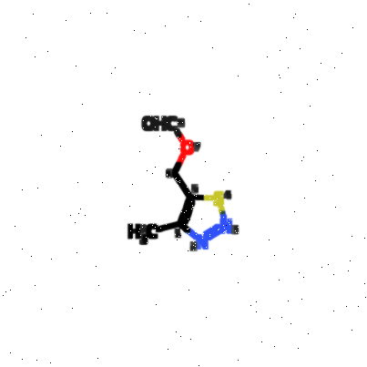 Cc1nnsc1COC=O